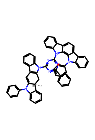 C[C@@]12Cc3c(c4ccccc4n3-c3nc(-c4ccccc4)nc(-n4c5ccccc5c5ccc6c7ccccc7n(-c7ccccc7)c6c54)n3)C=C1N(c1ccccc1)c1ccccc12